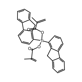 C=C(C)C(=O)[O][Ti]([O]C(=O)C(=C)C)([c]1cccc2c1Cc1ccccc1-2)[c]1cccc2c1Cc1ccccc1-2